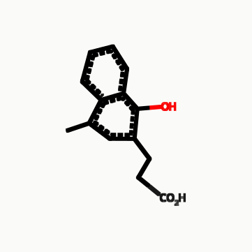 Cc1cc(CCC(=O)O)c(O)c2ccccc12